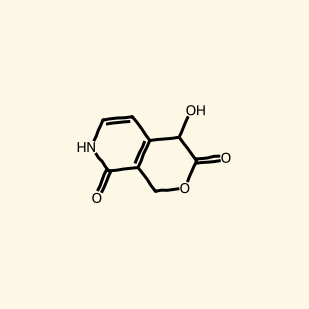 O=C1OCc2c(cc[nH]c2=O)C1O